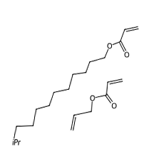 C=CC(=O)OCCCCCCCCCCC(C)C.C=CCOC(=O)C=C